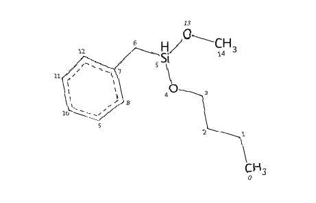 CCCCO[SiH](Cc1ccccc1)OC